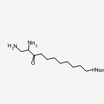 CCCCCCCCCCCCCCCCCC(=O)C(N)CN